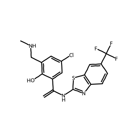 C=C(Nc1nc2ccc(C(F)(F)F)cc2s1)c1cc(Cl)cc(CNC)c1O